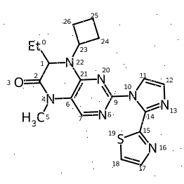 CCC1C(=O)N(C)c2cnc(-n3ccnc3-c3nccs3)nc2N1C1CCC1